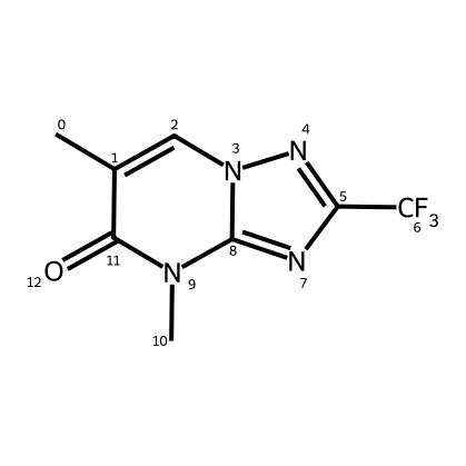 Cc1cn2nc(C(F)(F)F)nc2n(C)c1=O